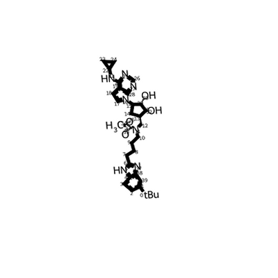 CC(C)(C)c1ccc2[nH]c(CCCCN(C[C@H]3CC(n4ccc5c(NC6CC6)ncnc54)[C@H](O)C3O)S(C)(=O)=O)nc2c1